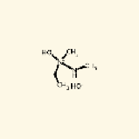 CC[N+](C)(O)NC.[OH-]